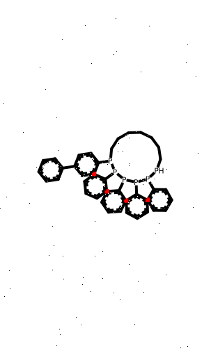 c1ccc(-c2ccc(P3CCCCCCCPP(c4ccccc4)P(c4ccccc4)P(c4ccccc4)P3c3ccccc3)cc2)cc1